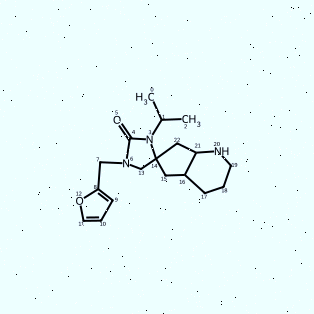 CC(C)N1C(=O)N(Cc2ccco2)CC12CC1CCCNC1C2